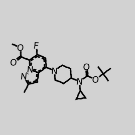 COC(=O)c1c(F)cc(N2CCC(N(C(=O)OC(C)(C)C)C3CC3)CC2)c2cc(C)nn12